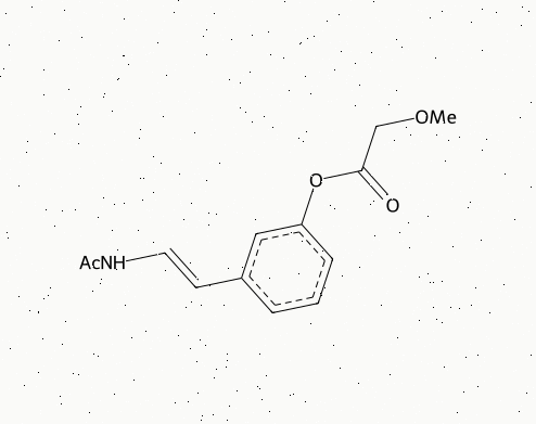 COCC(=O)Oc1cccc(C=CNC(C)=O)c1